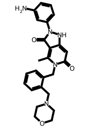 Cc1c2c(=O)n(-c3cccc(N)c3)[nH]c2cc(=O)n1Cc1ccccc1CN1CCOCC1